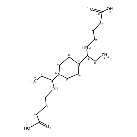 CCC(NCCCC(=O)O)N1CCN(C(CC)NCCCC(=O)O)CC1